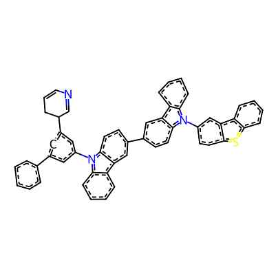 C1=CN=CC(c2cc(-c3ccccc3)cc(-n3c4ccccc4c4cc(-c5ccc6c(c5)c5ccccc5n6-c5ccc6sc7ccccc7c6c5)ccc43)c2)C1